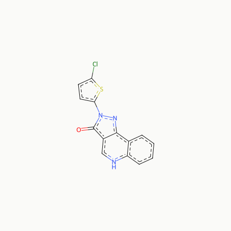 O=c1c2c[nH]c3ccccc3c-2nn1-c1ccc(Cl)s1